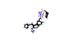 O=S(=O)(CC1CC1)NCCc1cc2c(cc1F)CC(CN1CCC1)C2Cc1ccccc1